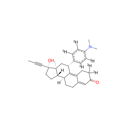 [2H]c1c([2H])c(N(C)C)c([2H])c([2H])c1[C@H]1C[C@@]2(C)[C@@H](CC[C@@]2(O)C#CC)[C@@H]2CCC3=CC(=O)C([2H])([2H])CC3=C21